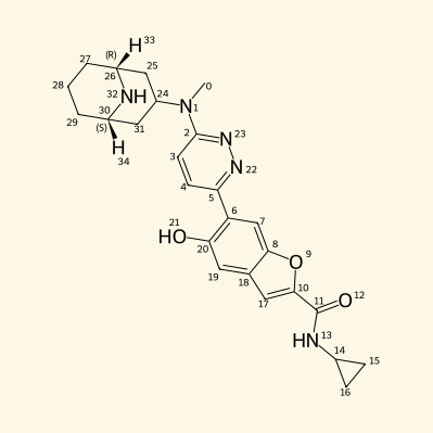 CN(c1ccc(-c2cc3oc(C(=O)NC4CC4)cc3cc2O)nn1)C1C[C@H]2CCC[C@@H](C1)N2